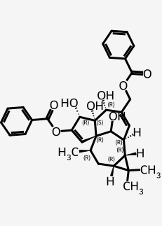 C[C@@H]1C[C@@H]2[C@H]([C@@H]3C=C(COC(=O)c4ccccc4)[C@@H](O)[C@]4(O)[C@@H](O)C(OC(=O)c5ccccc5)=C[C@@]14C3O)C2(C)C